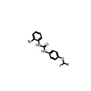 O=C(Nc1ccc(OC(F)F)cc1)Nc1ccccc1Br